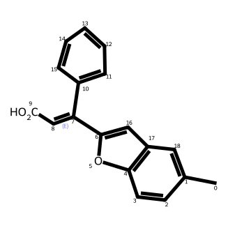 Cc1ccc2oc(/C(=C/C(=O)O)c3ccccc3)cc2c1